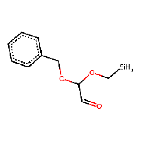 O=CC(OC[SiH3])OCc1ccccc1